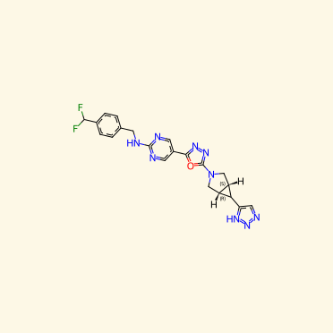 FC(F)c1ccc(CNc2ncc(-c3nnc(N4C[C@@H]5C(c6cnn[nH]6)[C@@H]5C4)o3)cn2)cc1